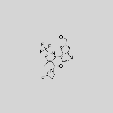 COCc1cc2nccc(-c3nc(C(F)(F)F)cc(C)c3C(=O)N3CCC(F)C3)c2s1